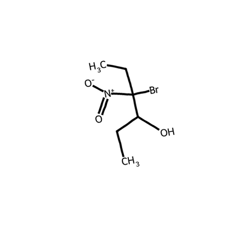 CCC(O)C(Br)(CC)[N+](=O)[O-]